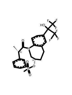 C[C@H](C(=O)N1C[C@@H](OS(C)(=O)=O)CCc2cc(C(O)(C(F)(F)F)C(F)(F)F)ccc21)c1ccccc1